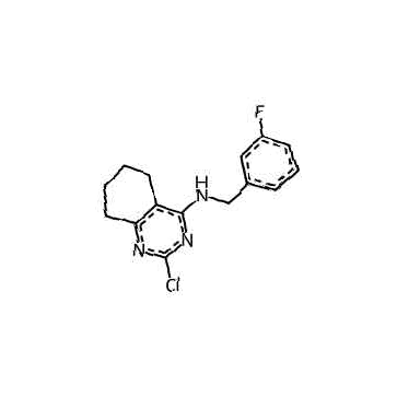 Fc1cccc(CNc2nc(Cl)nc3c2CCCC3)c1